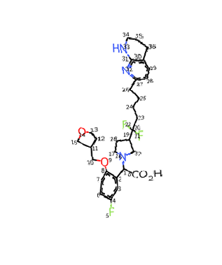 O=C(O)C(c1cc(F)ccc1OCC1CCOC1)N1CCC(C(F)(F)CCCCc2ccc3c(n2)NCCC3)C1